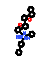 c1ccc(C2=NC(c3cccc4oc5c(-c6cccc7c6oc6ccc8ccccc8c67)cccc5c34)NC(c3ccc(-c4ccccc4)cc3)N2)cc1